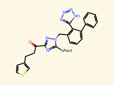 CCCCCc1nc(C(=O)CCc2ccsc2)nn1Cc1cccc(-c2ccccc2)c1-c1nnn[nH]1